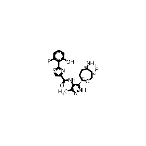 Cc1n[nH]c([C@@H]2CC[C@@H](N)[C@H](F)CO2)c1NC(=O)c1csc(-c2c(O)cccc2F)n1